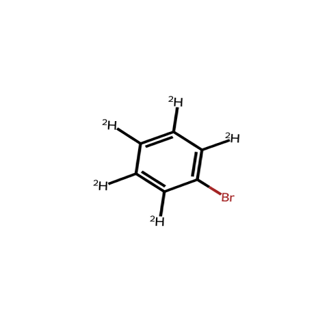 [2H]c1c([2H])c([2H])c(Br)c([2H])c1[2H]